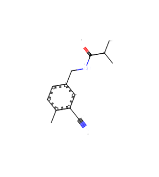 Cc1ccc(CNC(=O)C(C)C)cc1C#N